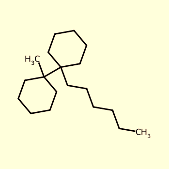 CCCCCCC1(C2(C)CCCCC2)CCCCC1